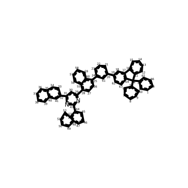 c1ccc(C2(c3ccccc3)c3ccccc3-c3cc(-c4cccc(-c5ccc(-c6cc(-c7ccc8ccccc8c7)nc(-c7cccc8ccccc78)n6)c6ccccc56)c4)ccc32)cc1